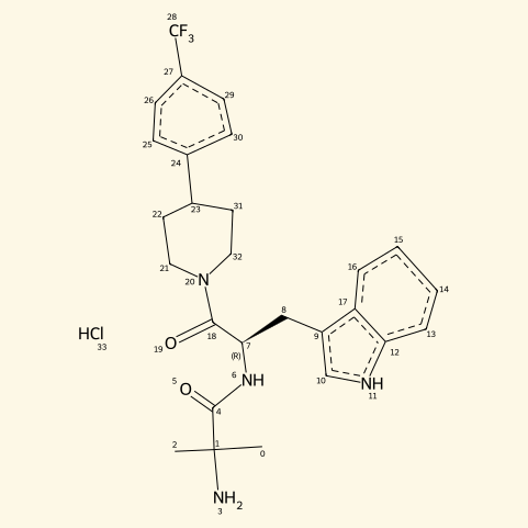 CC(C)(N)C(=O)N[C@H](Cc1c[nH]c2ccccc12)C(=O)N1CCC(c2ccc(C(F)(F)F)cc2)CC1.Cl